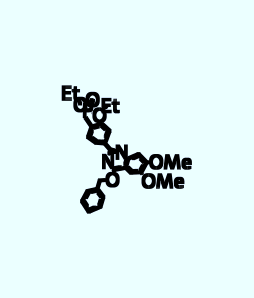 CCOP(=O)(Cc1ccc(-c2nc(OCc3ccccc3)c3cc(OC)c(OC)cc3n2)cc1)OCC